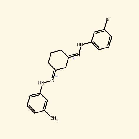 Bc1cccc(N/N=C2\CCC/C(=N\Nc3cccc(Br)c3)C2)c1